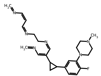 C=N/C=C\C=N/CC/N=C\C(=C/N=C)C1CC1c1ccc(F)c(N2CCN(C)CC2)c1